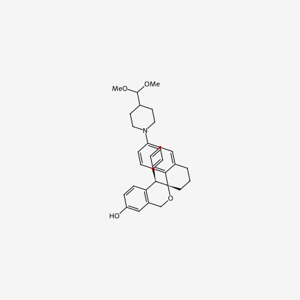 COC(OC)C1CCN(c2ccc([C@@H]3c4ccc(O)cc4CO[C@]34CCCc3ccccc34)cc2)CC1